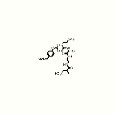 CC[C@H](C)[C@H](NC(=O)[C@H](CCSC)NC(=O)Nc1ccc(CNC)cc1)C(=O)NCCNC(=O)C(C)CC(=O)O